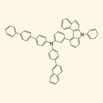 C1=CC(n2c3cccc(-c4cccc(N(c5ccc(-c6ccc(-c7ccccc7)cc6)cc5)c5ccc(-c6ccc7ccccc7c6)cc5)c4)c3c3c4ccccc4ccc32)=CCC1